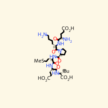 CC[C@H](C)[C@H](NC(=O)[C@H](CCC(=O)O)NC(=O)[C@H](CCSC)NC(=O)[C@@H]1CCCN1C(=O)[C@H](CCCCN)NC(=O)[C@@H](N)CCC(=O)O)C(=O)O